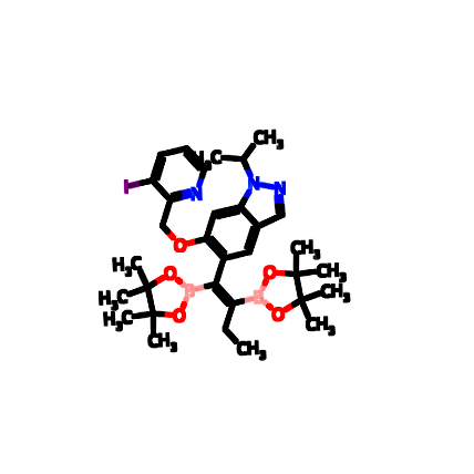 CC/C(B1OC(C)(C)C(C)(C)O1)=C(\B1OC(C)(C)C(C)(C)O1)c1cc2cnn(C(C)C)c2cc1OCc1ncccc1I